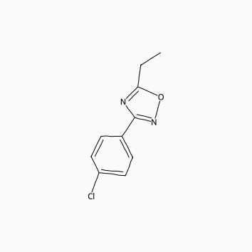 CCc1nc(-c2ccc(Cl)cc2)no1